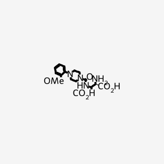 COc1ccccc1N1CCN(C(=O)NC(C(=O)O)[C@H](N)C(=O)O)CC1